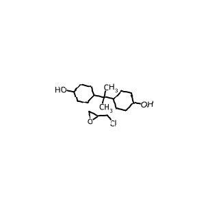 CC(C)(C1CCC(O)CC1)C1CCC(O)CC1.ClCC1CO1